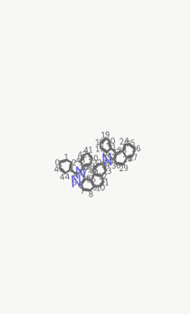 c1ccc(-c2nc3ccc4ccc5cc(-n6c7ccccc7c7c8ccccc8ccc76)ccc5c4c3n2-c2ccccc2)cc1